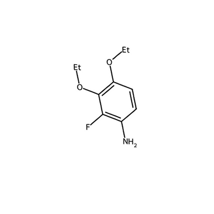 CCOc1ccc(N)c(F)c1OCC